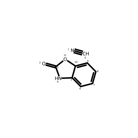 C#N.O=c1[nH]c2ccccc2o1